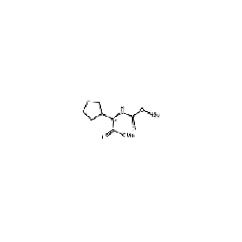 COC(=O)[C@H](NC(=O)OC(C)(C)C)C1CCCC1